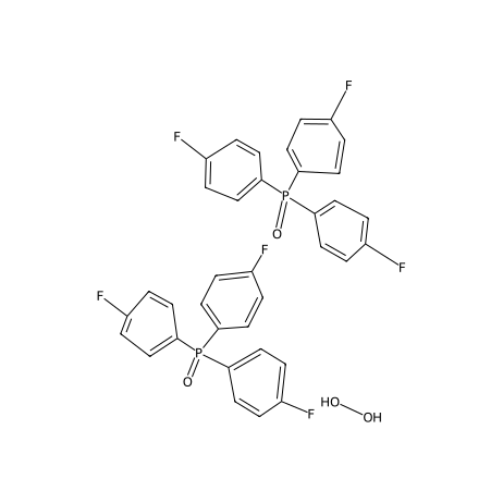 O=P(c1ccc(F)cc1)(c1ccc(F)cc1)c1ccc(F)cc1.O=P(c1ccc(F)cc1)(c1ccc(F)cc1)c1ccc(F)cc1.OO